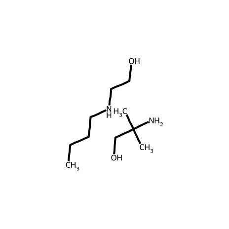 CC(C)(N)CO.CCCCNCCO